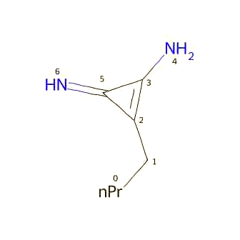 CCCCc1c(N)c1=N